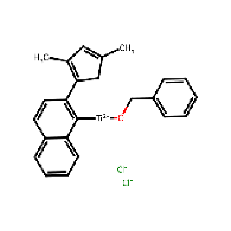 CC1=CC(C)=C(c2ccc3ccccc3[c]2[Ti+2][O]Cc2ccccc2)C1.[Cl-].[Cl-]